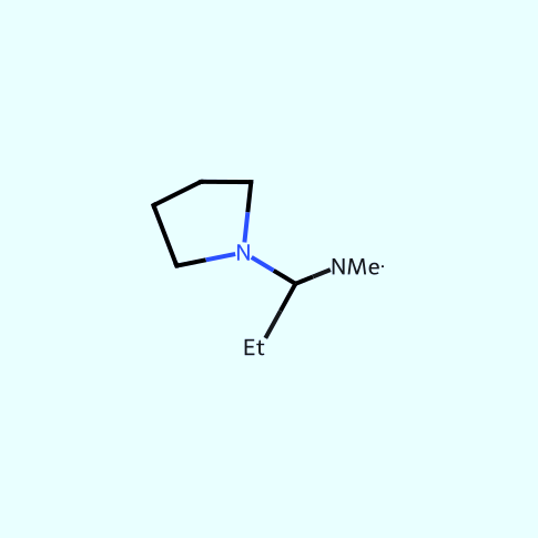 CCC([N]C)N1CCCC1